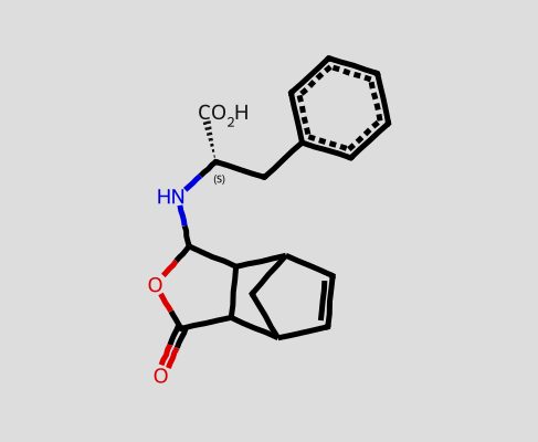 O=C1OC(N[C@@H](Cc2ccccc2)C(=O)O)C2C3C=CC(C3)C12